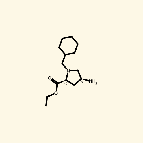 CCOC(=O)[C@@H]1C[C@H](N)CN1CC1CCCCC1